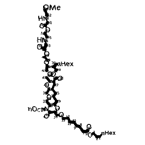 CCCCCC/C=C\COC(=O)CCCCCCCOCC(OCCCCCCCC(=O)OC/C=C\CCCCCC)C(=O)N(CCCCCCCC)CCOCCOCCOCCOCCOC(=O)CNCCOC(=O)CNCCOC